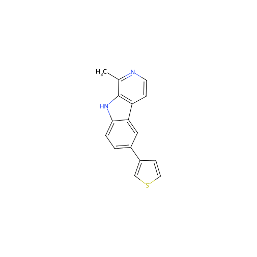 Cc1nccc2c1[nH]c1ccc(-c3ccsc3)cc12